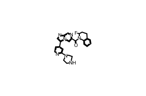 O=C(c1cn2c(-c3ccnc(N4CCNCC4)c3)cnc2cn1)N1c2ccccc2CCC1F